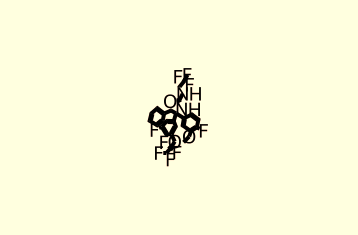 COc1cc(C(Cc2ccccc2)(NC(=O)NCC(F)(F)F)c2cc(F)cc(OC(F)(F)C(F)F)c2)ccc1F